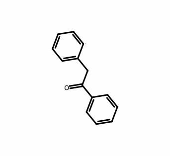 O=C(Cc1[c]cccc1)c1ccccc1